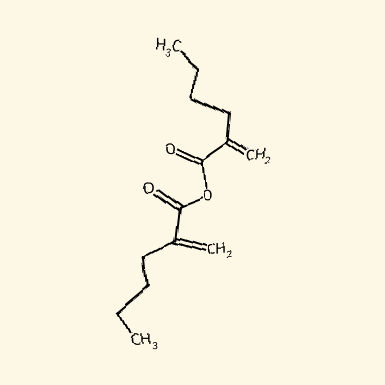 C=C(CCCC)C(=O)OC(=O)C(=C)CCCC